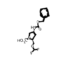 O=C(N[C@H]1C[C@@H](COC(F)F)N(C(=O)O)C1)OCc1ccccc1